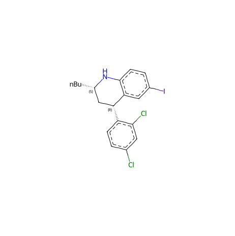 CCCC[C@H]1C[C@@H](c2ccc(Cl)cc2Cl)c2cc(I)ccc2N1